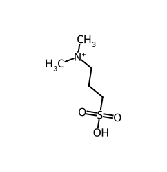 C[N+](C)CCCS(=O)(=O)O